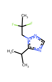 CC(C)c1ncnn1CC(C)(F)F